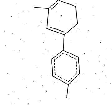 CC1=CCCC(c2ccc(C)cc2)=C1